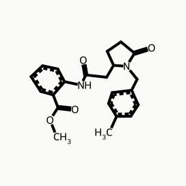 COC(=O)c1ccccc1NC(=O)CC1CCC(=O)N1Cc1ccc(C)cc1